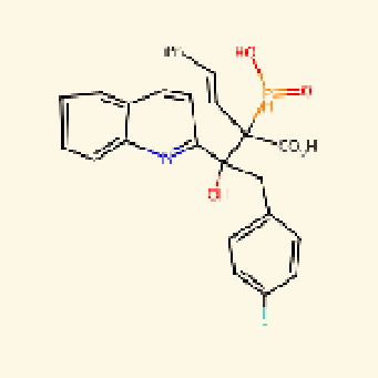 CC(C)C=CC(C(=O)O)([PH](=O)O)C(O)(Cc1ccc(F)cc1)c1ccc2ccccc2n1